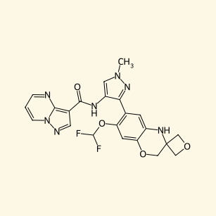 Cn1cc(NC(=O)c2cnn3cccnc23)c(-c2cc3c(cc2OC(F)F)OCC2(COC2)N3)n1